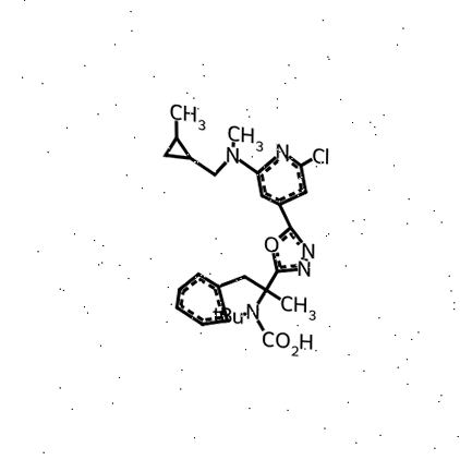 CC1CC1CN(C)c1cc(-c2nnc(C(C)(Cc3ccccc3)N(C(=O)O)C(C)(C)C)o2)cc(Cl)n1